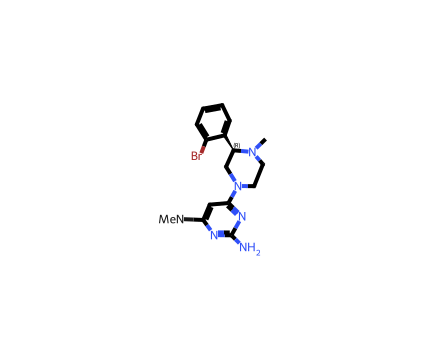 CNc1cc(N2CCN(C)[C@H](c3ccccc3Br)C2)nc(N)n1